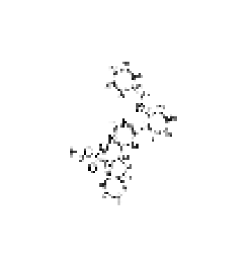 CS(=O)(=O)N1c2c[c]ccc2CC1c1cc(-c2ccccc2OCc2ccccc2)ncn1